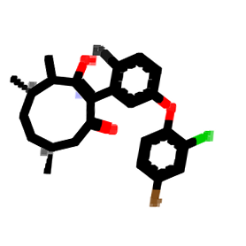 CCc1ccc(Oc2ccc(Br)cc2Cl)cc1/C1=C(\O)C(C)[C@@H](C)CC[C@@H](C)CC1=O